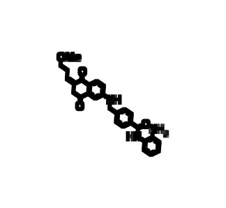 COCC/C=C1/CC(=O)c2cc(NCc3ccc(C(=O)Nc4ccccc4N)cc3)ccc2C1=O